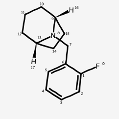 Fc1ccccc1CN1[C@@H]2CCC[C@H]1CC2